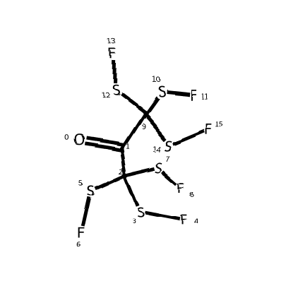 O=C(C(SF)(SF)SF)C(SF)(SF)SF